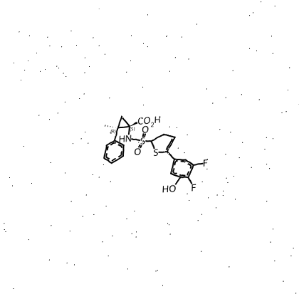 C[C@]1(c2ccccc2)C[C@@]1(NS(=O)(=O)C1CC=C(c2cc(O)c(F)c(F)c2)S1)C(=O)O